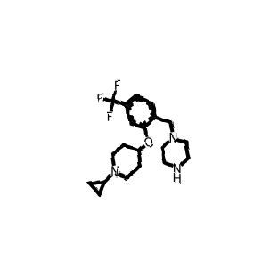 FC(F)(F)c1ccc(CN2CCNCC2)c(OC2CCN(C3CC3)CC2)c1